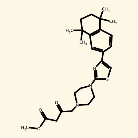 COC(=O)CC(=O)CN1CCN(c2nc(-c3ccc4c(c3)C(C)(C)CCC4(C)C)cs2)CC1